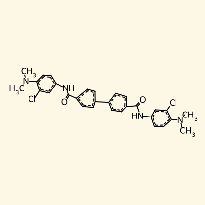 CN(C)c1ccc(NC(=O)c2ccc(-c3ccc(C(=O)Nc4ccc(N(C)C)c(Cl)c4)cc3)cc2)cc1Cl